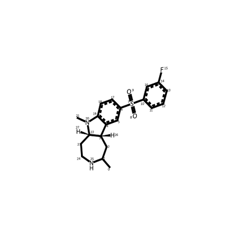 CC1C[C@H]2c3cc(S(=O)(=O)c4cccc(F)c4)ccc3N(C)[C@H]2CCN1